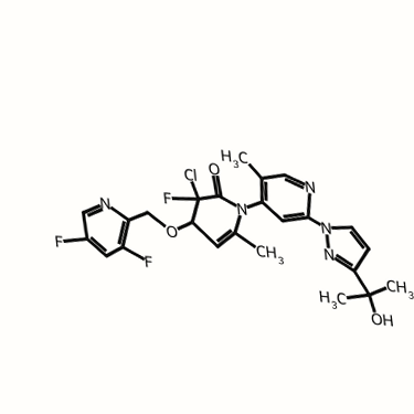 CC1=CC(OCc2ncc(F)cc2F)C(F)(Cl)C(=O)N1c1cc(-n2ccc(C(C)(C)O)n2)ncc1C